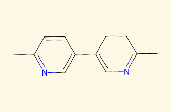 CC1=NC=C(c2ccc(C)nc2)CC1